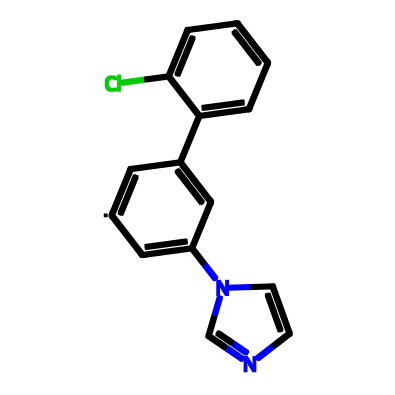 Clc1ccccc1-c1c[c]cc(-n2ccnc2)c1